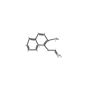 C=CCc1c(CCCC)ccc2ccccc12